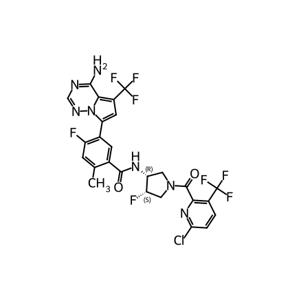 Cc1cc(F)c(-c2cc(C(F)(F)F)c3c(N)ncnn23)cc1C(=O)N[C@@H]1CN(C(=O)c2nc(Cl)ccc2C(F)(F)F)C[C@@H]1F